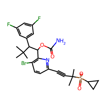 CC(C)(C)C(c1cc(F)cc(F)c1)C(OC(N)=O)c1nc(C#CC(C)(C)S(=O)(=O)C2CC2)ccc1Br